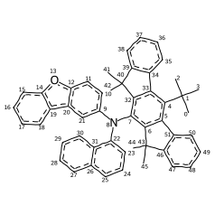 CC(C)(C)c1c2c(c(N(c3ccc4oc5ccccc5c4c3)c3cccc4ccccc34)c3c1-c1ccccc1C3(C)C)C(C)(C)c1ccccc1-2